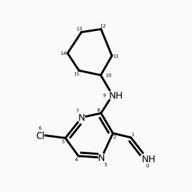 N=Cc1ncc(Cl)nc1NC1CCCCC1